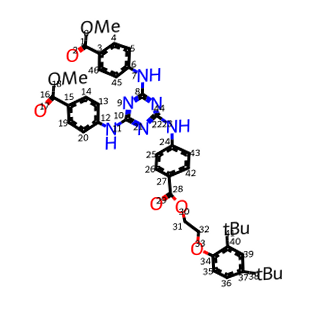 COC(=O)c1ccc(Nc2nc(Nc3ccc(C(=O)OC)cc3)nc(Nc3ccc(C(=O)OCCOc4ccc(C(C)(C)C)cc4C(C)(C)C)cc3)n2)cc1